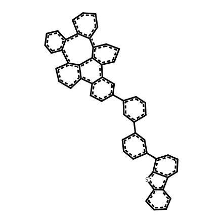 c1cc(-c2cccc(-c3cccc4c3sc3ccccc34)c2)cc(-c2ccc3c(c2)c2cccc4c5ccccc5c5ccccc5c5cccc3c5c42)c1